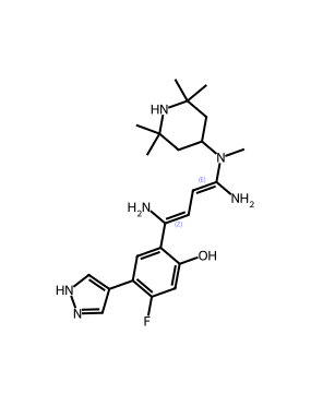 CN(/C(N)=C/C=C(\N)c1cc(-c2cn[nH]c2)c(F)cc1O)C1CC(C)(C)NC(C)(C)C1